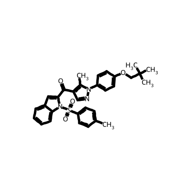 Cc1ccc(S(=O)(=O)n2c(C(=O)c3cnn(-c4ccc(OCC(C)(C)C)cc4)c3C)cc3ccccc32)cc1